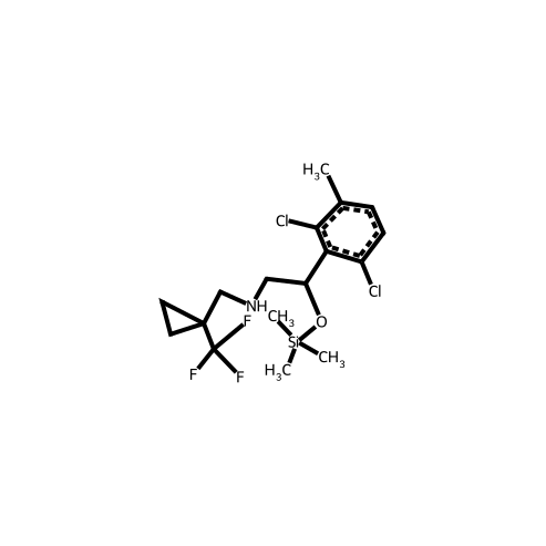 Cc1ccc(Cl)c(C(CNCC2(C(F)(F)F)CC2)O[Si](C)(C)C)c1Cl